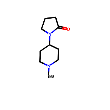 CC(C)(C)N1CCC(N2CCCC2=O)CC1